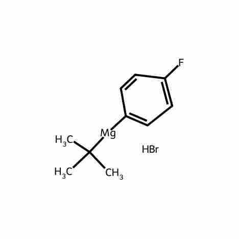 Br.C[C](C)(C)[Mg][c]1ccc(F)cc1